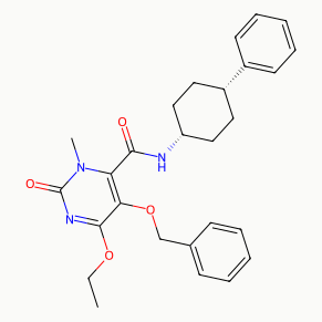 CCOc1nc(=O)n(C)c(C(=O)N[C@H]2CC[C@@H](c3ccccc3)CC2)c1OCc1ccccc1